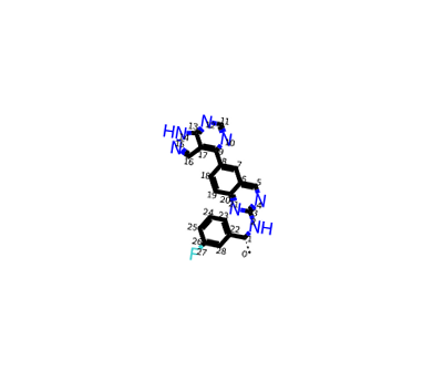 C[C@@H](Nc1ncc2cc(-c3ncnc4[nH]ncc34)ccc2n1)c1cccc(F)c1